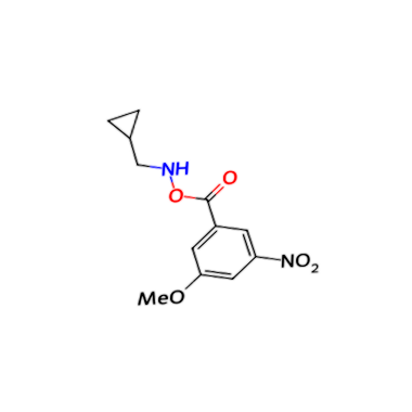 COc1cc(C(=O)ONCC2CC2)cc([N+](=O)[O-])c1